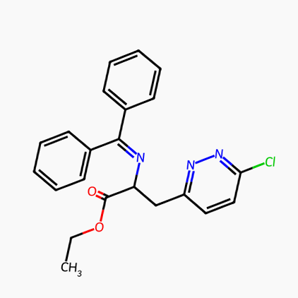 CCOC(=O)C(Cc1ccc(Cl)nn1)N=C(c1ccccc1)c1ccccc1